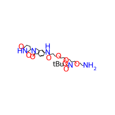 CN(C(=O)OC(C)(C)C)C(COCCN)COCCOCCC(=O)Nc1ccc2c(c1)CN(C1CCC(=O)NC1=O)C2=O